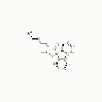 COCC1(C(=O)CCCCCC(C)C)c2ccccc2-c2ccccc21